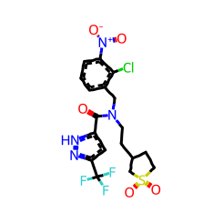 O=C(c1cc(C(F)(F)F)n[nH]1)N(CCC1CCS(=O)(=O)C1)Cc1cccc([N+](=O)[O-])c1Cl